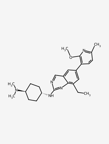 CCc1cc(-c2ccc(C)nc2OC)cc2cnc(N[C@H]3CC[C@H](N(C)C)CC3)nc12